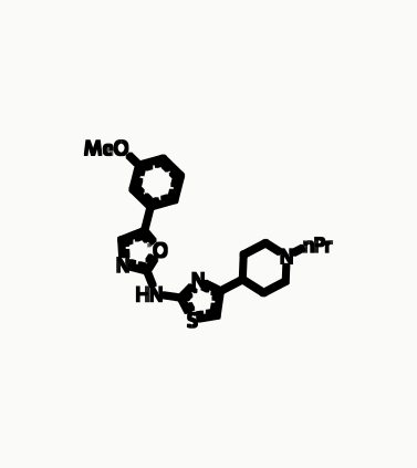 CCCN1CCC(c2csc(Nc3ncc(-c4cccc(OC)c4)o3)n2)CC1